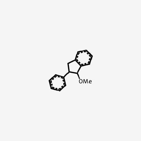 COC1c2ccccc2CC1c1ccccc1